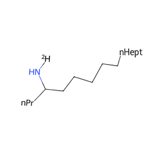 [2H]NC(CCC)CCCCCCCCCCCC